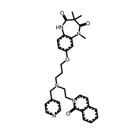 CN1C(=O)C(C)(C)C(=O)Nc2ccc(OCCCN(CCn3ccc4ccccc4c3=O)Cc3ccncc3)cc21